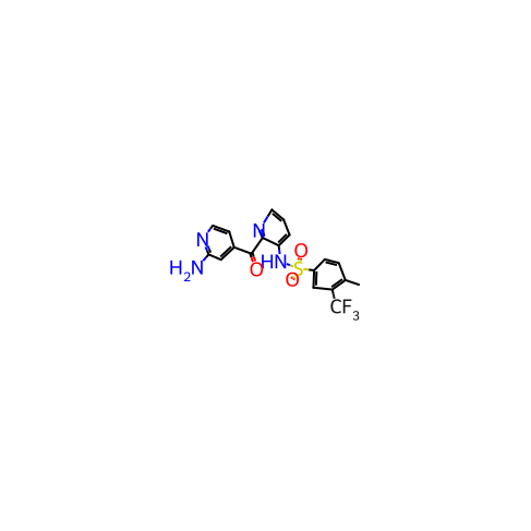 Cc1ccc(S(=O)(=O)Nc2cccnc2C(=O)c2ccnc(N)c2)cc1C(F)(F)F